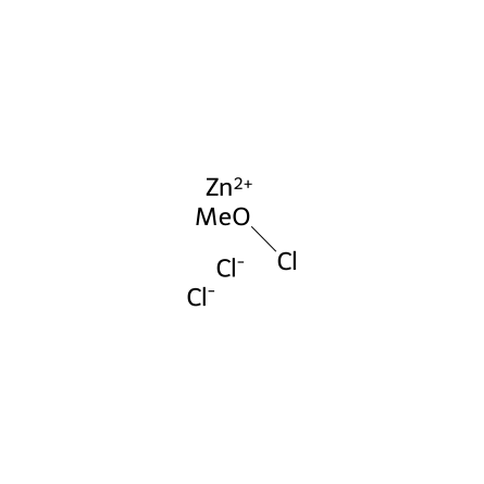 COCl.[Cl-].[Cl-].[Zn+2]